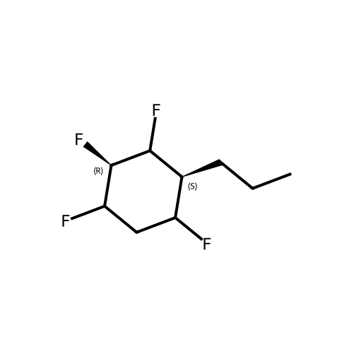 CCC[C@H]1C(F)CC(F)[C@@H](F)C1F